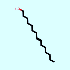 CCCCCCC=CCCCCCCCO